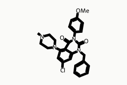 COc1ccc(-n2c(=O)c3c(N4CCN(C)CC4)cc(Cl)cc3n(Cc3ccccc3)c2=O)cc1